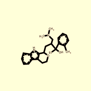 CCC(O)(c1ccccc1C)C(CC1OCCc2c1[nH]c1ccccc21)CN(C)C